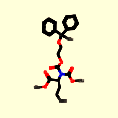 CC(C)(C)OC(=O)[C@H](CCC=O)N(C(=O)OCCO[Si](c1ccccc1)(c1ccccc1)C(C)(C)C)C(=O)OC(C)(C)C